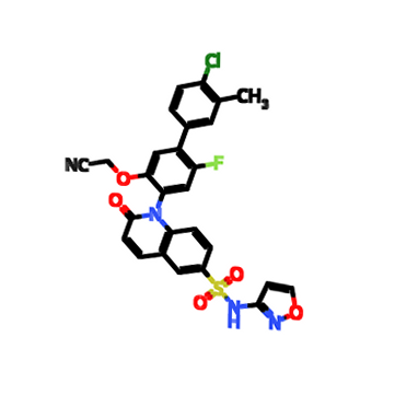 Cc1cc(-c2cc(OCC#N)c(-n3c(=O)ccc4cc(S(=O)(=O)Nc5ccon5)ccc43)cc2F)ccc1Cl